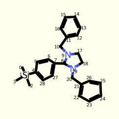 C[Si](C)(C)c1ccc(C2N(Cc3ccccc3)CCN2Cc2ccccc2)cc1